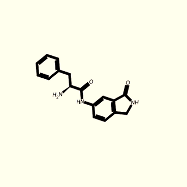 N[C@@H](Cc1ccccc1)C(=O)Nc1ccc2c(c1)C(=O)NC2